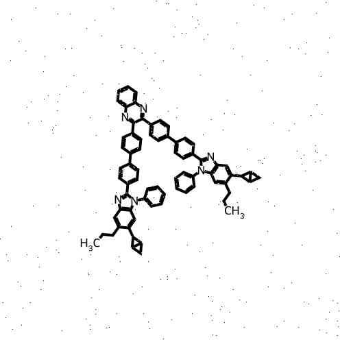 CCCc1cc2c(cc1C1C3CC31)nc(-c1ccc(-c3ccc(-c4nc5ccccc5nc4-c4ccc(-c5ccc(-c6nc7cc(CCC)c(C8C9CC98)cc7n6-c6ccccc6)cc5)cc4)cc3)cc1)n2-c1ccccc1